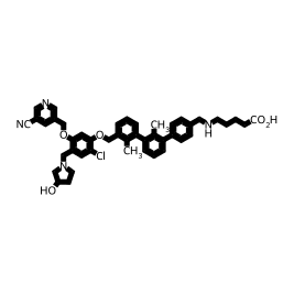 Cc1c(COc2cc(OCc3cncc(C#N)c3)c(CN3CCC(O)C3)cc2Cl)cccc1-c1cccc(-c2ccc(CNCCCCC(=O)O)cc2)c1C